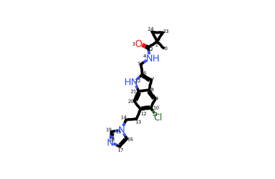 CC1(C(=O)NCc2cc3cc(Cl)c(CCn4ccnc4)cc3[nH]2)CC1